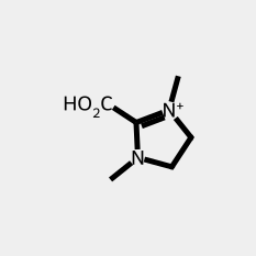 CN1CC[N+](C)=C1C(=O)O